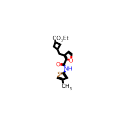 CCOC(=O)C1CC(Cc2ccoc2C(=O)Nc2cc(C)cs2)C1